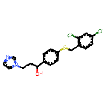 OC(CCn1ccnc1)c1ccc(SCc2ccc(Cl)cc2Cl)cc1